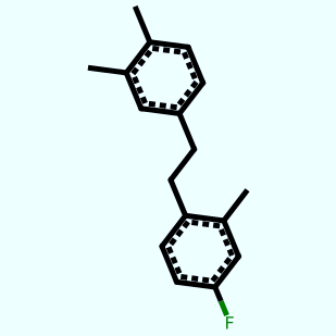 Cc1ccc(CCc2ccc(F)cc2C)cc1C